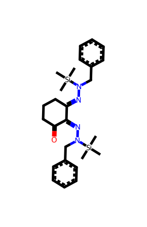 C[Si](C)(C)N(Cc1ccccc1)N=C1CCCC(=O)C1=NN(Cc1ccccc1)[Si](C)(C)C